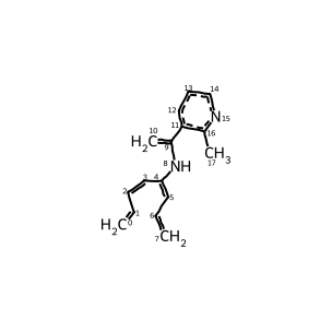 C=C/C=C\C(=C/C=C)NC(=C)c1cccnc1C